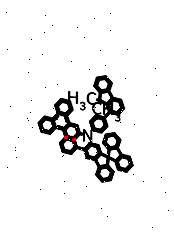 CC1(C)c2ccccc2-c2cccc(-c3ccc(N(c4ccc5c6ccccc6c6ccccc6c5c4)c4cc5c(cc4-c4ccccc4)-c4ccccc4C54c5ccccc5-c5ccccc54)cc3)c21